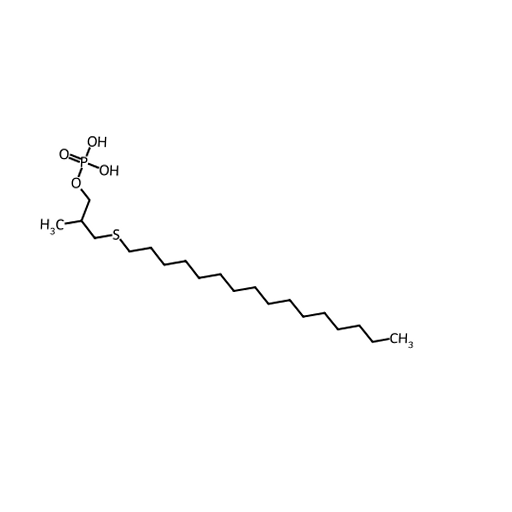 CCCCCCCCCCCCCCCCSCC(C)COP(=O)(O)O